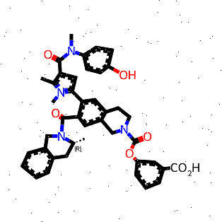 Cc1c(C(=O)N(C)c2ccc(O)cc2)cc(-c2cc3c(cc2C(=O)N2Cc4ccccc4C[C@H]2C)CN(C(=O)Oc2cccc(C(=O)O)c2)CC3)n1C